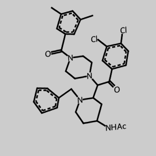 CC(=O)NC1CCN(Cc2ccccc2)C(C(C(=O)c2ccc(Cl)c(Cl)c2)N2CCN(C(=O)c3cc(C)cc(C)c3)CC2)C1